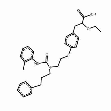 CCOC(Cc1ccc(OCCN(CCCc2ccccc2)C(=O)Nc2ccccc2C)cc1)C(=O)O